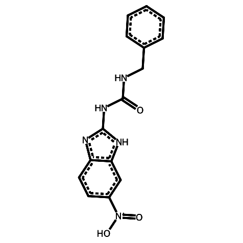 O=C(NCc1ccccc1)Nc1nc2ccc([N+](=O)O)cc2[nH]1